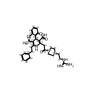 N=C(N)NCCN1CCN(C(=O)CC2=C(C(=O)O)C(c3c(Cl)cccc3Cl)C(C(=O)O)=C(CCc3ccccc3)N2)CC1